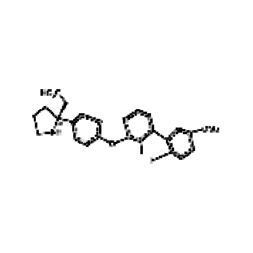 COc1ccc(F)c(-c2cccc(Oc3ccc([C@@]4(CC(=O)O)CCCN4)cc3)c2C)c1